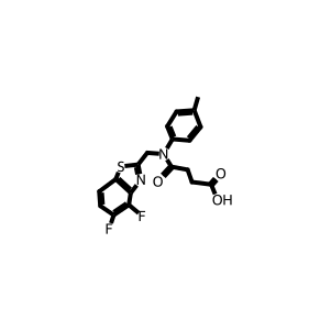 Cc1ccc(N(Cc2nc3c(F)c(F)ccc3s2)C(=O)CCC(=O)O)cc1